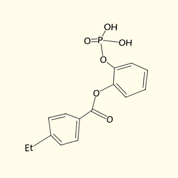 CCc1ccc(C(=O)Oc2ccccc2OP(=O)(O)O)cc1